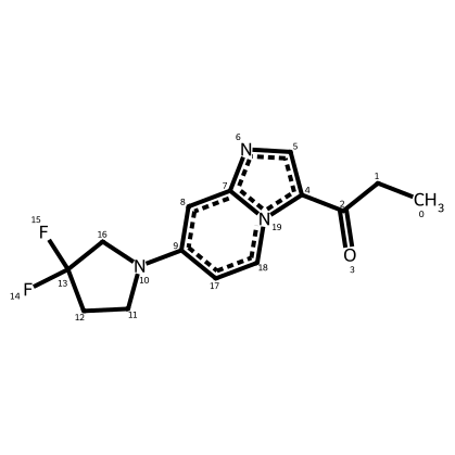 CCC(=O)c1cnc2cc(N3CCC(F)(F)C3)ccn12